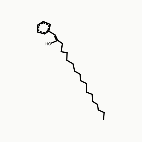 CCCCCCCCCCCCCCCCC(O)=Cc1ccccc1